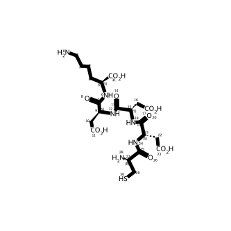 NCCCC[C@H](NC(=O)[C@H](CC(=O)O)NC(=O)[C@H](CC(=O)O)NC(=O)[C@H](CC(=O)O)NC(=O)[C@@H](N)CS)C(=O)O